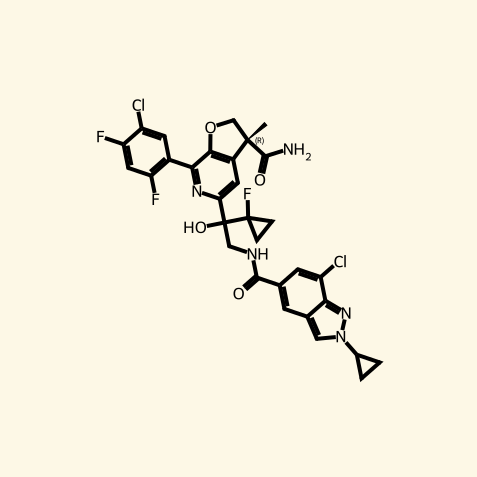 C[C@]1(C(N)=O)COc2c1cc(C(O)(CNC(=O)c1cc(Cl)c3nn(C4CC4)cc3c1)C1(F)CC1)nc2-c1cc(Cl)c(F)cc1F